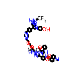 COC(=O)C1C(c2ccccc2)CCN1c1nc(NCCOCCOCCN2CCN(Cc3ccc(-c4cn([C@H]5CC[C@H](O)CC5)c5nc(NCCC(F)(F)F)ncc45)cc3)CC2)ncc1-c1cccc(NS(=O)(=O)c2cccc3c(N(C)C)cccc23)c1